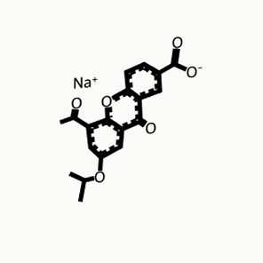 CC(=O)c1cc(OC(C)C)cc2c(=O)c3cc(C(=O)[O-])ccc3oc12.[Na+]